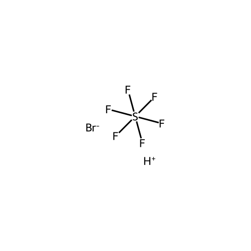 FS(F)(F)(F)(F)F.[Br-].[H+]